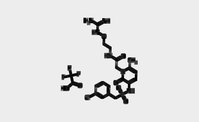 Cc1ccc(NS(=O)(=O)Cc2cccc(Cl)c2)c(=O)n1CC(=O)NCCONC(=N)N.O=C(O)C(F)(F)F